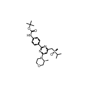 C=S(=O)(Cc1cc(N2CCOC[C@@H]2C)nc(-c2ccc(NC(=O)OC(C)(C)C)cc2)n1)C(C)C